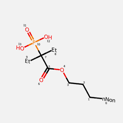 CCCCCCCCCCCCOC(=O)C(CC)(CC)P(=O)(O)O